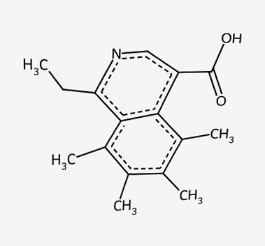 CCc1ncc(C(=O)O)c2c(C)c(C)c(C)c(C)c12